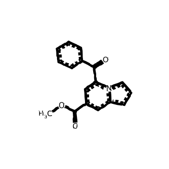 COC(=O)c1cc(C(=O)c2ccccc2)n2cccc2c1